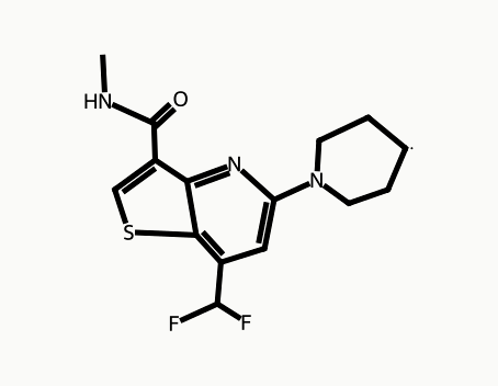 CNC(=O)c1csc2c(C(F)F)cc(N3CC[CH]CC3)nc12